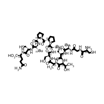 CC[C@H](C)[C@H](NC(=O)CNC(=O)[C@@H](N)CS)C(=O)N[C@@H](CC(C)C)C(=O)N[C@H](C(=O)N[C@@H](C)C(=O)N[C@@H](CO)C(=O)N[C@H](C(=O)N1CCC[C@H]1C(=O)N1CCC[C@H]1C(=O)N[C@H](C(=O)N[C@@H](CS)C(=O)N[C@@H](CCC(N)=O)C(=O)O)[C@@H](C)CC)[C@@H](C)CC)[C@@H](C)O